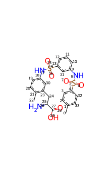 Cc1ccc(S(=O)(=O)Nc2cccc(S(=O)(=O)Nc3ccc(C)c(C[C@H](N)C(=O)O)c3)c2)cc1